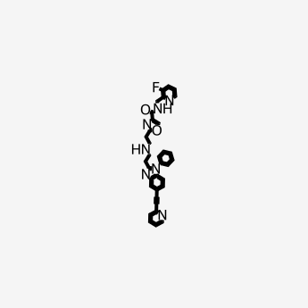 O=C(NCc1ncccc1F)c1coc(CCNCCc2nc3cc(C#Cc4ccccn4)ccc3n2-c2ccccc2)n1